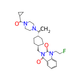 C=C([C@H]1CC[C@H](Cn2c(=O)c3ccccc3n(CCF)c2=O)CC1)N1CCN(C(=O)C2CC2)CC1